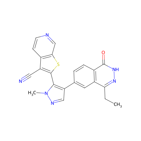 CCc1n[nH]c(=O)c2ccc(-c3cnn(C)c3-c3sc4cnccc4c3C#N)cc12